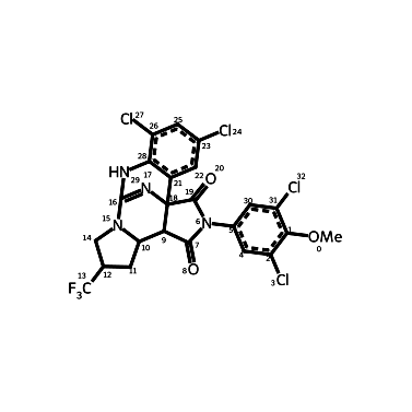 COc1c(Cl)cc(N2C(=O)C3C4CC(C(F)(F)F)CN4C4=NC3(C2=O)c2cc(Cl)cc(Cl)c2N4)cc1Cl